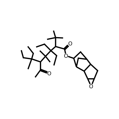 CCC(C)(CC)C(C(C)=O)C(C)(C)C(CC)(CC)C(C(=O)OC1CC2CC1C1C2CC2OC21)C(C)(C)C